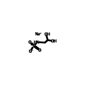 O=S(=O)([O-])NCC(O)O.[Na+]